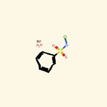 O.O=S(=O)([N-]Cl)c1ccccc1.[Na+]